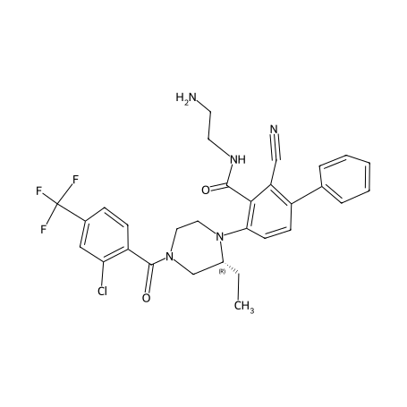 CC[C@@H]1CN(C(=O)c2ccc(C(F)(F)F)cc2Cl)CCN1c1ccc(-c2ccccc2)c(C#N)c1C(=O)NCCN